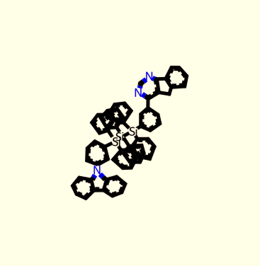 c1ccc([Si](c2ccccc2)(c2cccc(-c3ncnc4c3Cc3ccccc3-4)c2)[Si](c2ccccc2)(c2ccccc2)[Si](c2ccccc2)(c2ccccc2)c2cccc(-n3c4ccccc4c4ccccc43)c2)cc1